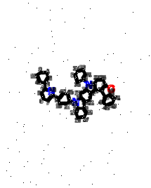 c1ccc(-c2cccc(-c3ccc(-n4c5ccccc5c5cc6c7c8c(ccc7n(-c7ccccc7)c6cc54)oc4ccccc48)cc3)n2)cc1